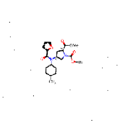 COC(=O)[C@@H]1C[C@H](N(C(=O)c2ccco2)[C@H]2CC[C@@H](C)CC2)CN1C(=O)OC(C)(C)C